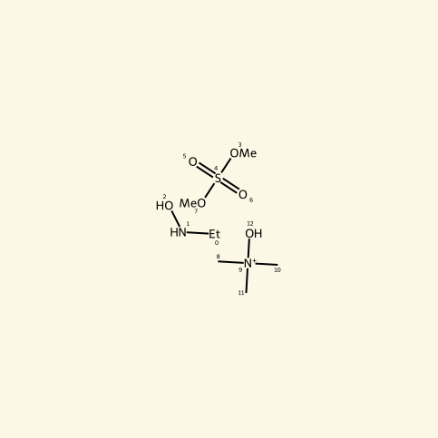 CCNO.COS(=O)(=O)OC.C[N+](C)(C)O